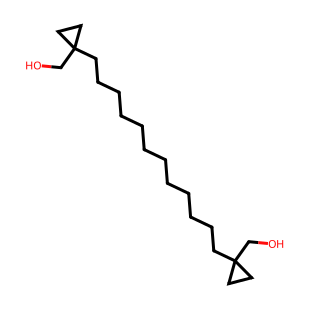 OCC1(CCCCCCCCCCCCC2(CO)CC2)CC1